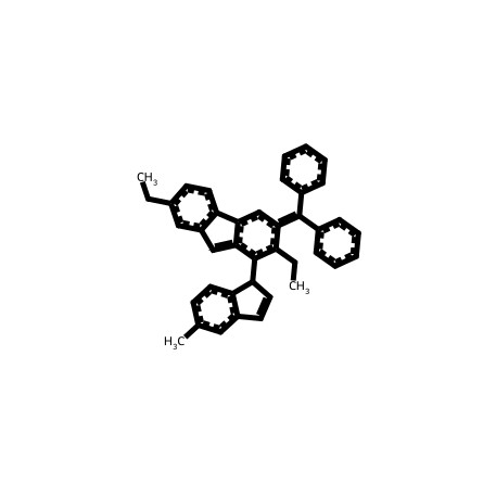 CCc1ccc2c(c1)[C]=c1c-2cc(=C(c2ccccc2)c2ccccc2)c(CC)c1C1C=Cc2cc(C)ccc21